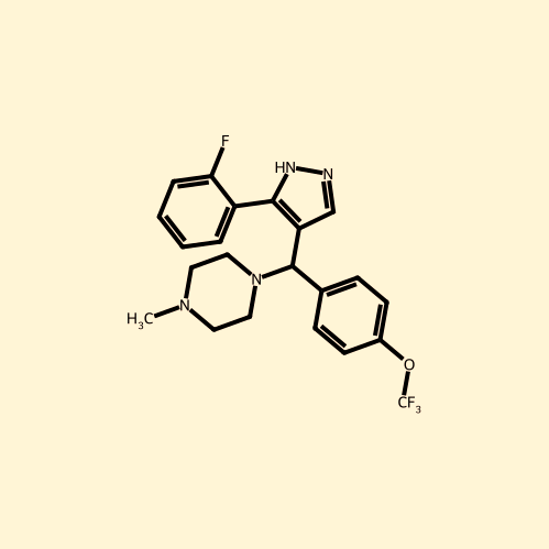 CN1CCN(C(c2ccc(OC(F)(F)F)cc2)c2cn[nH]c2-c2ccccc2F)CC1